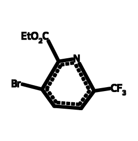 CCOC(=O)c1nc(C(F)(F)F)ccc1Br